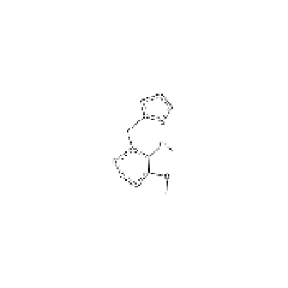 COc1ccnc(Cc2cccs2)c1OC